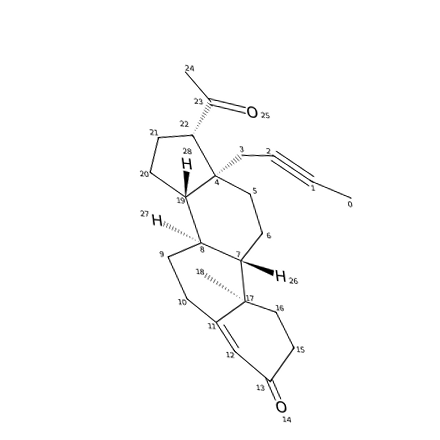 CC#CC[C@]12CC[C@H]3[C@@H](CCC4=CC(=O)CC[C@@]43C)[C@@H]1CC[C@@H]2C(C)=O